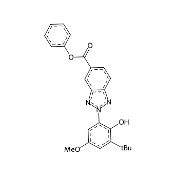 COc1cc(-n2nc3ccc(C(=O)Oc4ccccc4)cc3n2)c(O)c(C(C)(C)C)c1